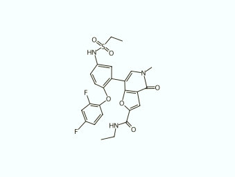 CCNC(=O)c1cc2c(=O)n(C)cc(-c3cc(NS(=O)(=O)CC)ccc3Oc3ccc(F)cc3F)c2o1